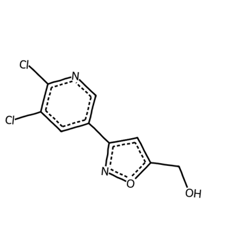 OCc1cc(-c2cnc(Cl)c(Cl)c2)no1